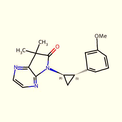 COc1cccc([C@@H]2C[C@H]2N2C(=O)C(C)(C)c3nccnc32)c1